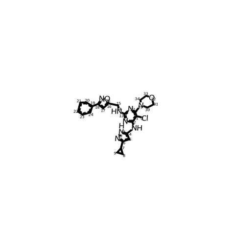 Clc1c(Nc2cc(C3CC3)n[nH]2)nc(NCc2cc(-c3ccccc3)no2)nc1N1CCOCC1